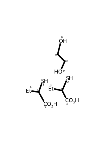 CCC(S)C(=O)O.CCC(S)C(=O)O.OCCO